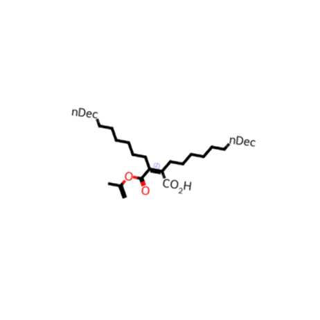 C=C(C)OC(=O)/C(CCCCCCCCCCCCCCCC)=C(/CCCCCCCCCCCCCCCC)C(=O)O